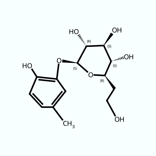 Cc1ccc(O)c(O[C@@H]2O[C@H](CCO)[C@@H](O)[C@H](O)[C@H]2O)c1